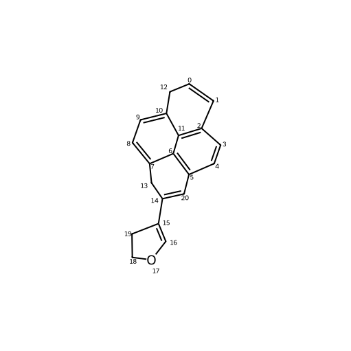 C1=Cc2ccc3c4c(ccc(c24)C1)CC(C1=COCC1)=C3